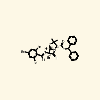 CC1(C)S[C@H]2N(C(=O)[C@@]2(Br)N=C(Cl)c2c(Br)cc(Br)cc2Br)[C@H]1C(=O)OC(c1ccccc1)c1ccccc1